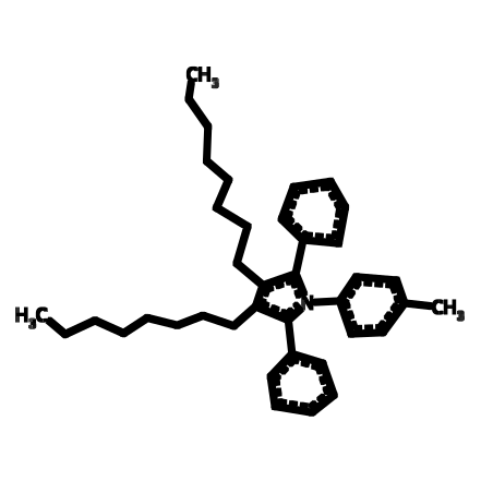 CCCCCCCCc1c(CCCCCCCC)c(-c2ccccc2)n(-c2ccc(C)cc2)c1-c1ccccc1